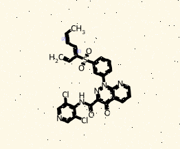 C=C/C(=C\C=C/C)S(=O)(=O)c1cccc(-n2nc(C(=O)Nc3c(Cl)cncc3Cl)c(=O)c3cccnc32)c1